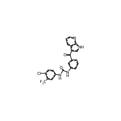 O=C(Nc1cccc(C(=O)c2c[nH]c3ncccc23)c1)Nc1ccc(Cl)c(C(F)(F)F)c1